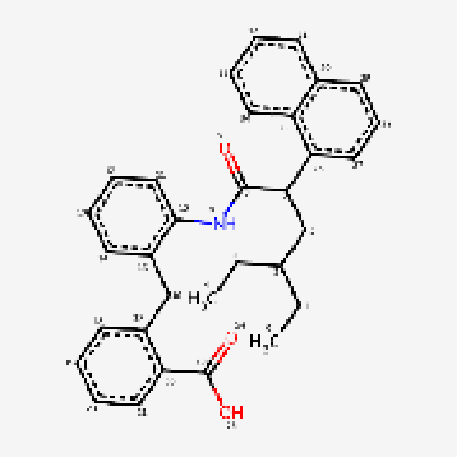 CCC(CC)CC(C(=O)Nc1ccccc1Cc1ccccc1C(=O)O)c1cccc2ccccc12